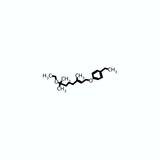 CCOC(C)(C)CCC/C(C)=C/COc1ccc(CC)cc1